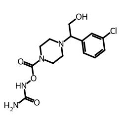 NC(=O)NOC(=O)N1CCN(C(CO)c2cccc(Cl)c2)CC1